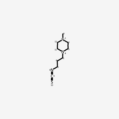 CN1CCN(CCCN=C=S)CC1